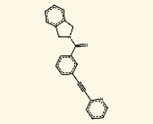 O=C(c1cccc(C#Cc2ccccn2)c1)N1Cc2ccccc2C1